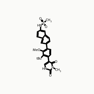 COc1c(-c2ccc3cc(NS(C)(=O)=O)ccc3c2)ccc(-c2c[nH]c(=O)n(C)c2=O)c1C(C)(C)C